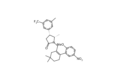 COc1ccc([N+](=O)[O-])cc1C1=C(CN2C(=O)C[C@H](c3cc(C)cc(C(F)(F)F)c3)[C@@H]2C)CC(C)(C)CC1